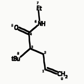 C=CCC(C(=O)NCC)C(C)(C)C